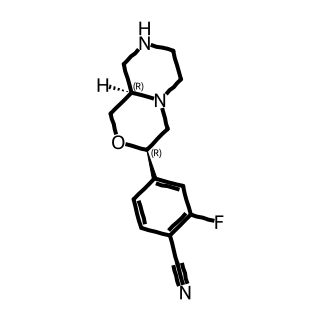 N#Cc1ccc([C@@H]2CN3CCNC[C@@H]3CO2)cc1F